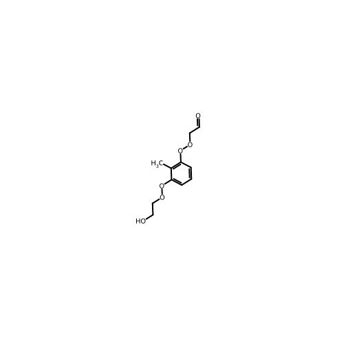 Cc1c(OOCC=O)cccc1OOCCO